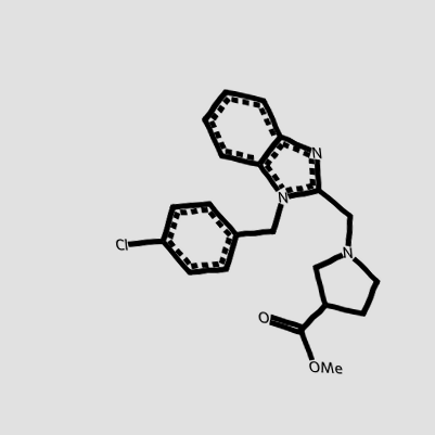 COC(=O)C1CCN(Cc2nc3ccccc3n2Cc2ccc(Cl)cc2)C1